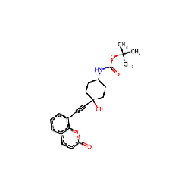 CC(C)(C)OC(=O)NC1CCC(O)(C#Cc2cccc3ccc(=O)oc23)CC1